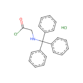 Cl.O=C(Cl)CNC(c1ccccc1)(c1ccccc1)c1ccccc1